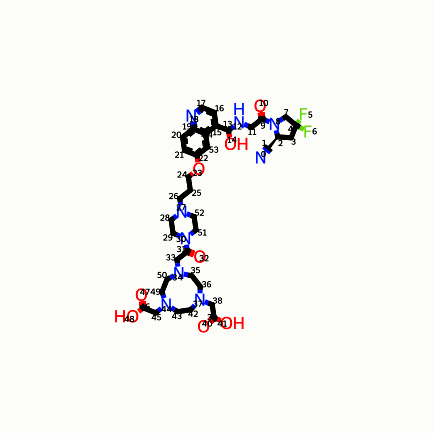 N#C[C@@H]1CC(F)(F)CN1C(=O)CNC(O)c1ccnc2ccc(OCCCN3CCN(C(=O)CN4CCN(CC(=O)O)CCN(CC(=O)O)CC4)CC3)cc12